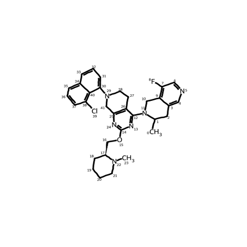 CC1Cc2cncc(F)c2CN1c1nc(OC[C@@H]2CCCCN2C)nc2c1CCN(c1cccc3cccc(Cl)c13)C2